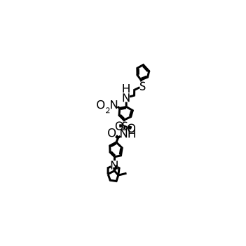 CC12CCC(CN(c3ccc(C(=O)NS(=O)(=O)c4ccc(NCCSc5ccccc5)c([N+](=O)[O-])c4)cc3)C1)C2(C)C